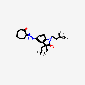 CCC1(CC)C(=O)N(CCC(C)C)c2ccc(N/N=C3\CCCCCC3=O)cc21